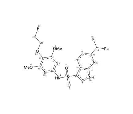 COc1nc(NS(=O)(=O)c2c[nH]c3nc(C(F)F)ccc23)nc(OC)c1OCCF